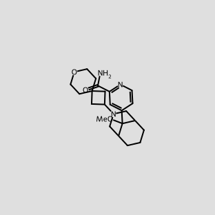 COC1(c2ccnc(C(N)=O)c2)C2CCCC1CN(C1CC3(CCOCC3)C1)C2